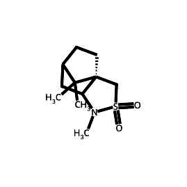 CN1C2CC3CC[C@@]2(CS1(=O)=O)C3(C)C